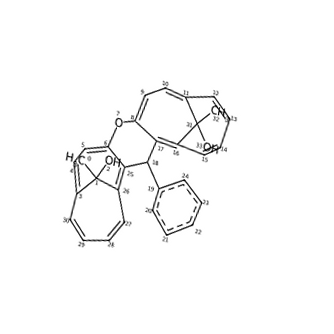 CC1(O)C2=CC=C3OC4=CC=C5C=CC=CC(=C4C(c4ccccc4)C3=C1C=CC=C2)C5(C)O